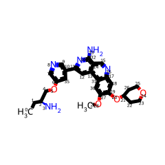 CC[C@H](N)COc1cncc(-c2cc3c(cnc4cc(OC5CCOCC5)c(OC)cc43)c(N)n2)c1